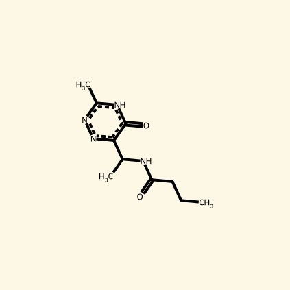 CCCC(=O)NC(C)c1nnc(C)[nH]c1=O